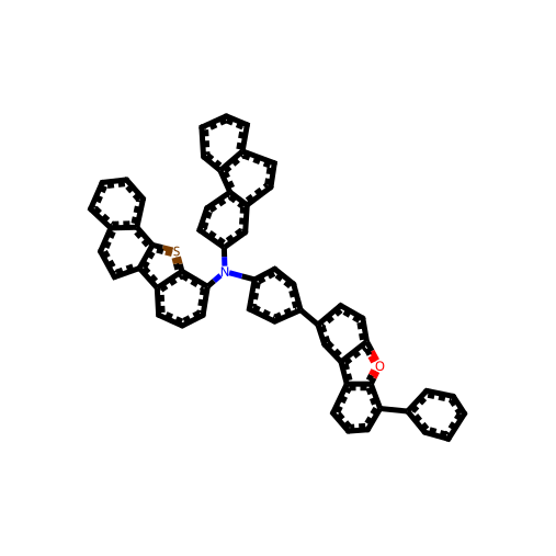 c1ccc(-c2cccc3c2oc2ccc(-c4ccc(N(c5ccc6c(ccc7ccccc76)c5)c5cccc6c5sc5c7ccccc7ccc65)cc4)cc23)cc1